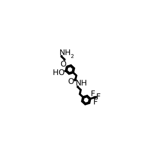 NCCOc1ccc(CC(=O)NCCCc2cccc(C(F)(F)F)c2)cc1O